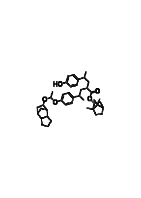 CC(Oc1ccc(C(C)CC(CC(C)c2ccc(O)cc2)C(=O)OC2CC3CCC2(C)C3(C)C)cc1)OC1CC2CC1C1CCCC21